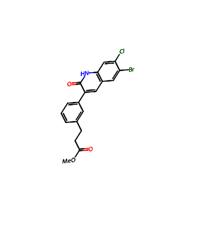 COC(=O)CCc1cccc(-c2cc3cc(Br)c(Cl)cc3[nH]c2=O)c1